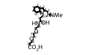 CNN(C)Cc1cc2ccccc2n1CCC(O)NCCOCCOCCC(=O)O